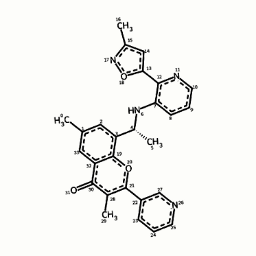 Cc1cc([C@@H](C)Nc2cccnc2-c2cc(C)no2)c2oc(-c3cccnc3)c(C)c(=O)c2c1